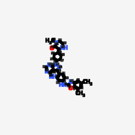 Cc1cc(C)c2oc(Nc3ccc(-c4nn(C5CCC(C6NCCN(C)C6=O)CC5)c5ncnc(N)c45)cc3)nc2c1